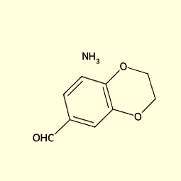 N.O=Cc1ccc2c(c1)OCCO2